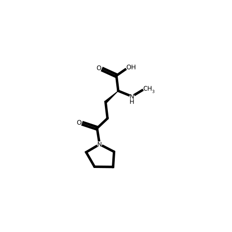 CN[C@@H](CCC(=O)N1CCCC1)C(=O)O